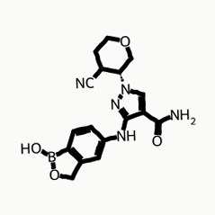 N#CC1CCOC[C@@H]1n1cc(C(N)=O)c(Nc2ccc3c(c2)COB3O)n1